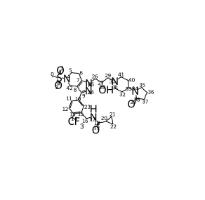 CS(=O)(=O)N1CCc2c(c(-c3ccc(C(F)(F)F)c(CNC(=O)C4CC4)c3)nn2CC(O)CN2CCC(N3CCCC3=O)CC2)C1